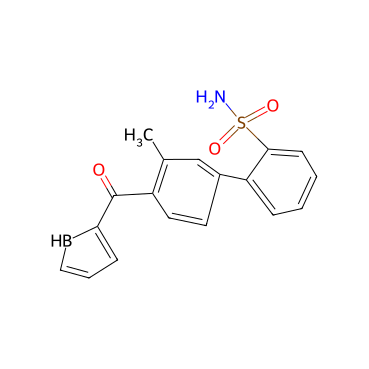 Cc1cc(-c2ccccc2S(N)(=O)=O)ccc1C(=O)C1=CC=CB1